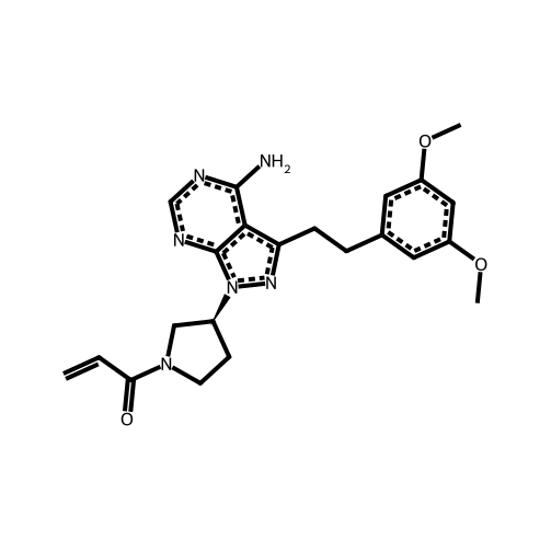 C=CC(=O)N1CC[C@H](n2nc(CCc3cc(OC)cc(OC)c3)c3c(N)ncnc32)C1